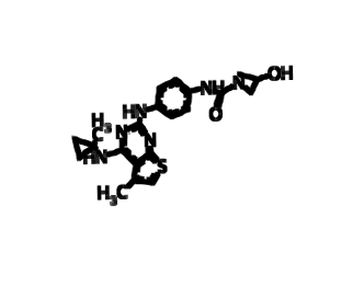 Cc1csc2nc(Nc3ccc(NC(=O)N4CC(O)C4)cc3)nc(NC3(C)CC3)c12